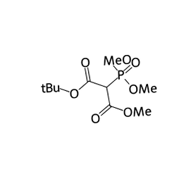 COC(=O)C(C(=O)OC(C)(C)C)P(=O)(OC)OC